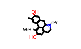 CCCN1CCc2cc(O)c(OC)c3c2C1Cc1cc(O)c(C)cc1-3